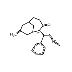 C=C1CC2CCC(=O)[C@@H](C(N=[N+]=[N-])c3ccccc3)C(C1)C2